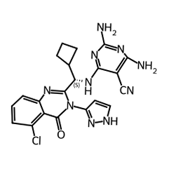 N#Cc1c(N)nc(N)nc1N[C@H](c1nc2cccc(Cl)c2c(=O)n1-c1cc[nH]n1)C1CCC1